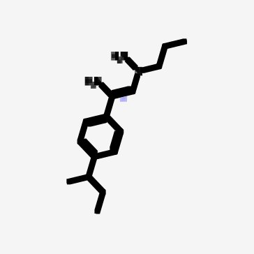 CCCN(N)/C=C(\N)c1ccc(C(C)CC)cc1